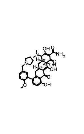 COc1ccc(CN2CCCC2)cc1-c1ccc(O)c2c1C[C@@H]1C[C@@H]3C(N(C)C)C(O)=C(C(N)=O)C(=O)[C@]3(O)C(O)=C1C2=O